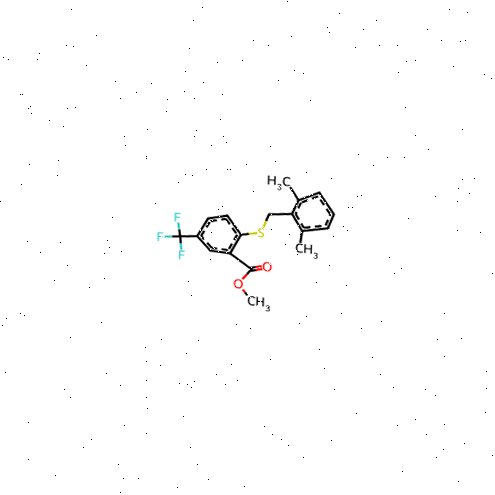 COC(=O)c1cc(C(F)(F)F)ccc1SCc1c(C)cccc1C